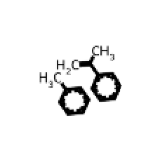 C=C(C)c1ccccc1.Cc1ccccc1